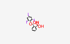 O=C(O)c1ccccc1C(O)Oc1c(I)cc(I)cc1I